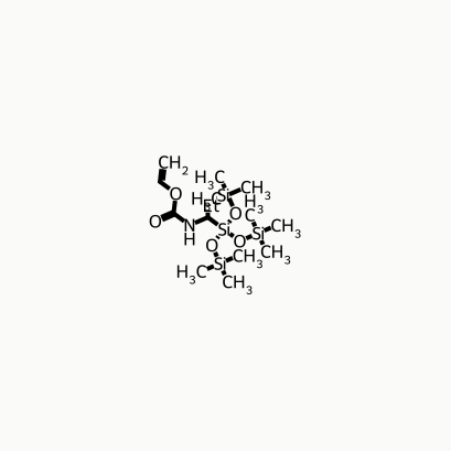 C=COC(=O)NC(CC)[Si](O[Si](C)(C)C)(O[Si](C)(C)C)O[Si](C)(C)C